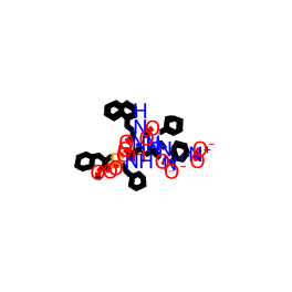 COC(=O)C(CC1CCCCC1)CP(=O)(O)C(CC1CCCCC1)NC(=O)[C@H](Cc1cn(-c2ccc([N+](=O)[O-])cc2[N+](=O)[O-])cn1)NC(=O)C(Cc1cccc2ccccc12)NC(=O)OCc1ccccc1